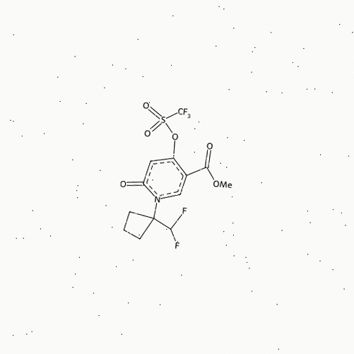 COC(=O)c1cn(C2(C(F)F)CCC2)c(=O)cc1OS(=O)(=O)C(F)(F)F